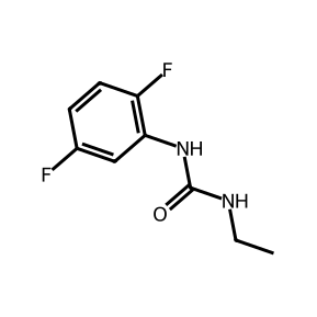 CCNC(=O)Nc1cc(F)ccc1F